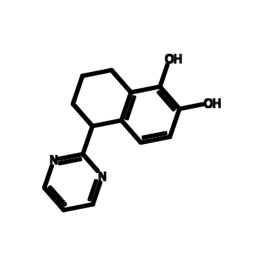 Oc1ccc2c(c1O)CCCC2c1ncccn1